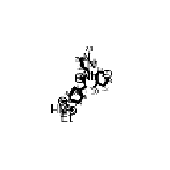 CCNS(=O)(=O)c1ccc([C@@H](CC2CCOCC2)C(=O)Nc2ccn(C)n2)cc1